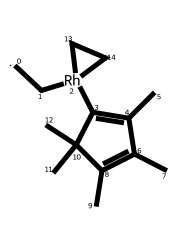 [CH2][CH2][Rh]1([C]2=C(C)C(C)=C(C)C2(C)C)[CH2][CH2]1